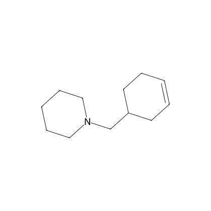 C1=CCC(CN2CCCCC2)CC1